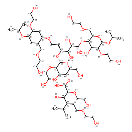 CC(C)O[C@@H]1OC(COCCO)[C@H](O[C@H](O)C(O)C(O)[C@H](CCO[C@@H]2CC(OCCO)[C@H](OC(C)C)CC2COCCO)O[C@@H]2OC(CO)[C@H](O[C@H](O)C(OCCO)C(O)[C@@H](CCOCCO)C(C)C)C(O)C2OCCO)C(O)C1OCCO